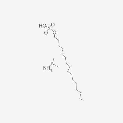 CCCCCCCCCCCCCCCCOS(=O)(=O)O.CN(C)C.N